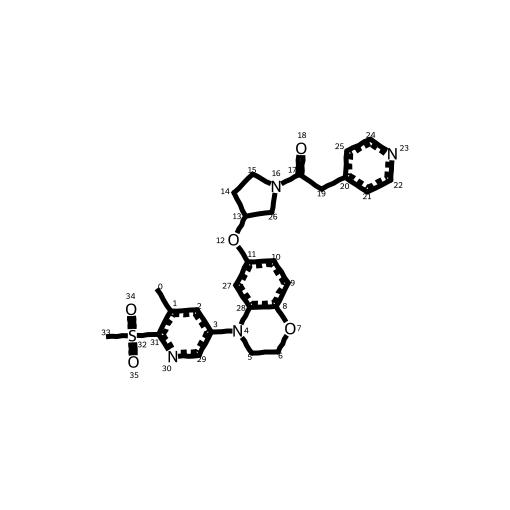 Cc1cc(N2CCOc3ccc(OC4CCN(C(=O)Cc5ccncc5)C4)cc32)cnc1S(C)(=O)=O